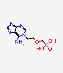 Nc1c2ncnc-2ncn1CCOCP(=O)(O)O